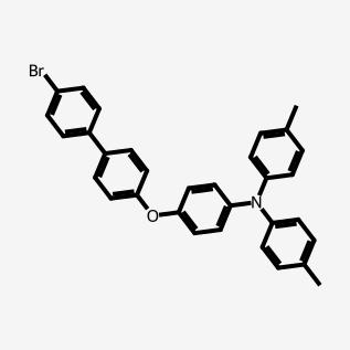 Cc1ccc(N(c2ccc(C)cc2)c2ccc(Oc3ccc(-c4ccc(Br)cc4)cc3)cc2)cc1